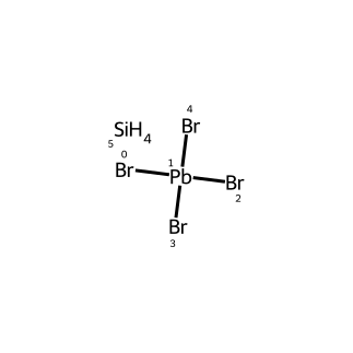 [Br][Pb]([Br])([Br])[Br].[SiH4]